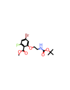 COC(=O)c1c(F)cc(Br)cc1OCCNC(=O)OC(C)(C)C